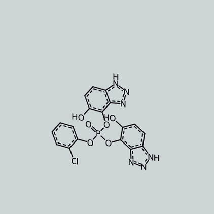 O=P(Oc1ccccc1Cl)(Oc1c(O)ccc2[nH]nnc12)Oc1c(O)ccc2[nH]nnc12